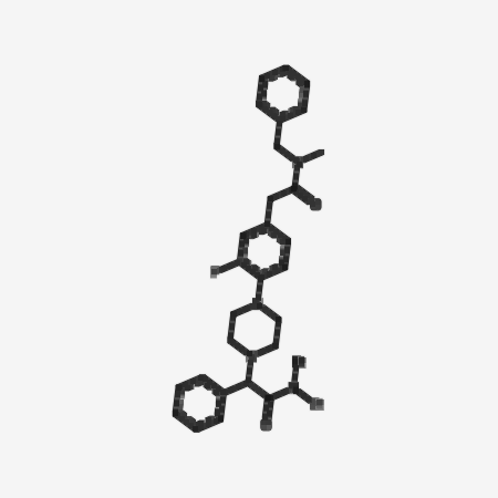 CCN(CC)C(=O)C(c1ccccc1)N1CCN(c2ccc(CC(=O)N(C)Cc3ccccc3)cc2F)CC1